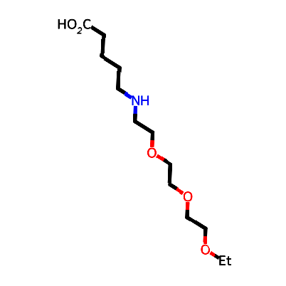 CCOCCOCCOCCNCCCCC(=O)O